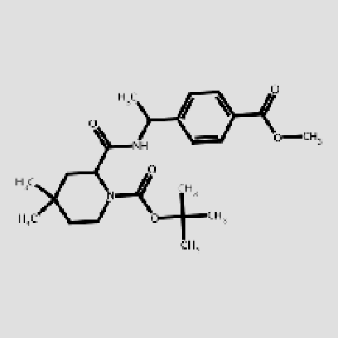 COC(=O)c1ccc(C(C)NC(=O)C2CC(C)(C)CCN2C(=O)OC(C)(C)C)cc1